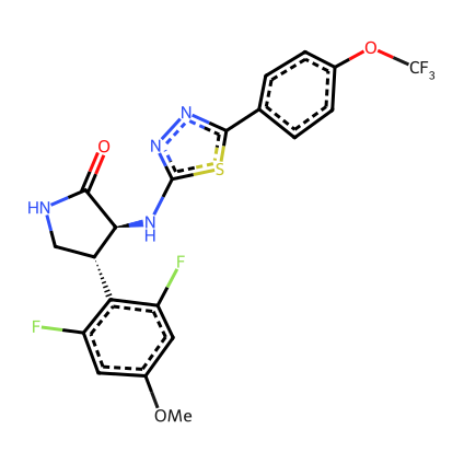 COc1cc(F)c([C@@H]2CNC(=O)[C@H]2Nc2nnc(-c3ccc(OC(F)(F)F)cc3)s2)c(F)c1